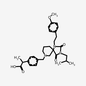 COc1ccc(CCN2C(=O)N(CC(C)C)C(=O)C23CCCN(Cc2ccc(C(C)C(=O)O)cc2)C3)cc1